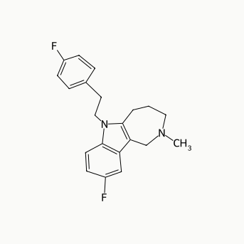 CN1CCCc2c(c3cc(F)ccc3n2CCc2ccc(F)cc2)C1